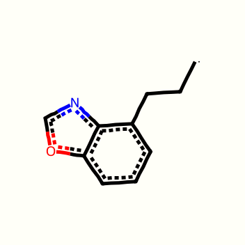 [CH2]CCc1cccc2ocnc12